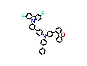 Fc1ccc2c(c1)c1ccc(F)cc1n2-c1cccc(-c2ccc(N(c3ccc(-c4ccccc4)cc3)c3ccc(-c4cccc5oc6ccccc6c45)cc3)cc2)c1